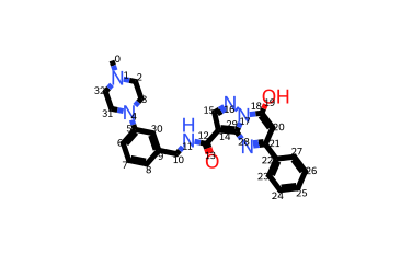 CN1CCN(c2cccc(CNC(=O)c3cnn4c(O)cc(-c5ccccc5)nc34)c2)CC1